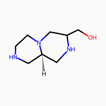 OCC1CN2CCNC[C@@H]2CN1